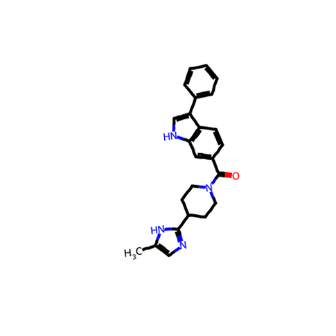 Cc1cnc(C2CCN(C(=O)c3ccc4c(-c5ccccc5)c[nH]c4c3)CC2)[nH]1